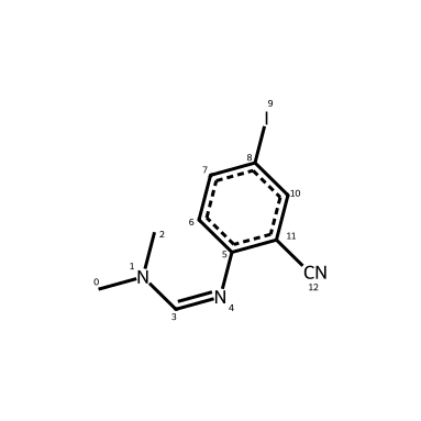 CN(C)/C=N\c1ccc(I)cc1C#N